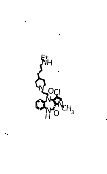 CCNCCCC1CCN(CC(=O)N2c3ccccc3NC(=O)c3c2c(Cl)cn3C)CC1